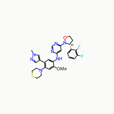 COc1cc(N2CCSCC2)c(-c2cnn(C)c2)cc1Nc1cc(N2OCC[C@@H]2c2cccc(F)c2F)ncn1